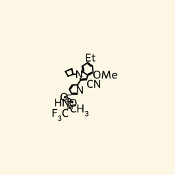 CCc1cc(OC)c2c(C#N)c(-c3ccc(S(=O)(=O)N[C@@H](C)C(F)(F)F)cn3)n(C3CCC3)c2c1